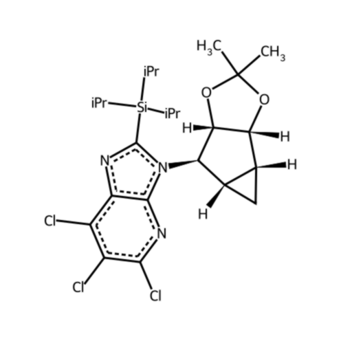 CC(C)[Si](c1nc2c(Cl)c(Cl)c(Cl)nc2n1[C@@H]1[C@H]2C[C@H]2[C@H]2OC(C)(C)O[C@H]21)(C(C)C)C(C)C